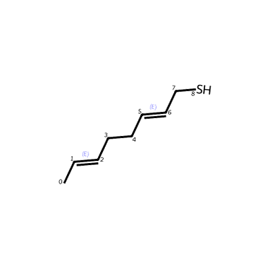 C/C=C/CC/C=C/CS